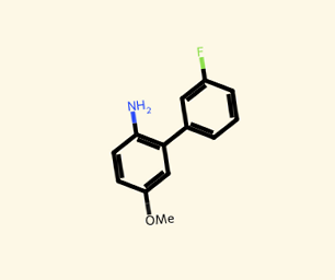 COc1ccc(N)c(-c2cccc(F)c2)c1